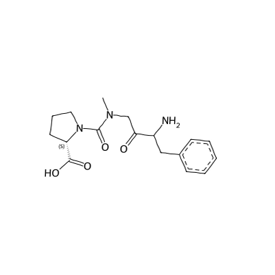 CN(CC(=O)C(N)Cc1ccccc1)C(=O)N1CCC[C@H]1C(=O)O